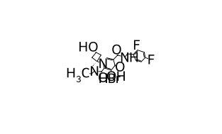 Br.CCN1C[C@]2(C[C@H](O)C2)n2cc(C(=O)NCc3ccc(F)cc3F)c(=O)c(O)c2C1=O